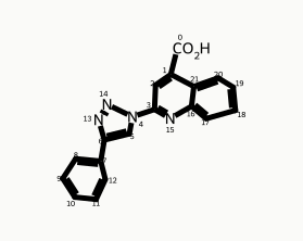 O=C(O)c1cc(-n2cc(-c3ccccc3)nn2)nc2ccccc12